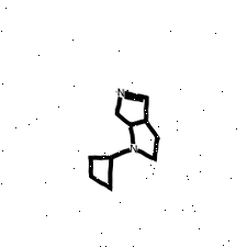 C1=[N+]CC2C1CCN2C1CCC1